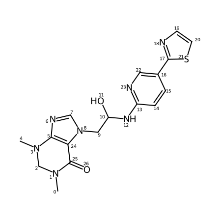 CN1CN(C)c2ncn(CC(O)Nc3ccc(-c4nccs4)cn3)c2C1=O